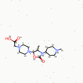 CC1C(N2CCN(CC(=O)O)CC2)OC(=O)N1C1CCN(C)CC1